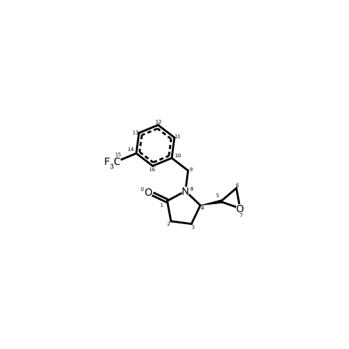 O=C1CC[C@H](C2CO2)N1Cc1cccc(C(F)(F)F)c1